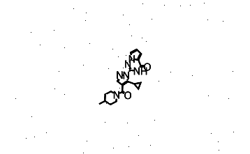 CC1CCN(C(=O)c2cnn(-c3nn4cccc4c(=O)[nH]3)c2C2CC2)CC1